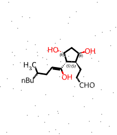 CCCCC(C)CC=C(O)[C@H]1[C@H](CCC=O)[C@H](O)C[C@H]1O